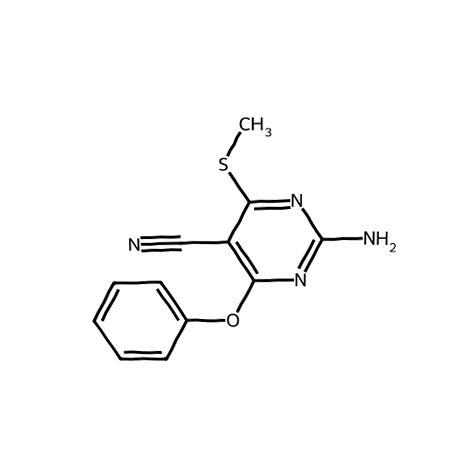 CSc1nc(N)nc(Oc2ccccc2)c1C#N